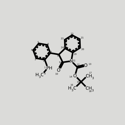 CPc1ccccc1C1C(=O)N(C(=O)OC(C)(C)C)c2ccccc21